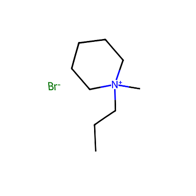 CCC[N+]1(C)CCCCC1.[Br-]